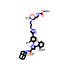 COc1cccc(OC)c1-c1cc(C(=O)NC2(C(=O)O)C3CC4CC(C3)CC2C4)nn1-c1ccc(-c2cn(CCCN(C)C[C@@H](O)CNC(=O)OC(C)(C)C)nn2)cc1C(C)C